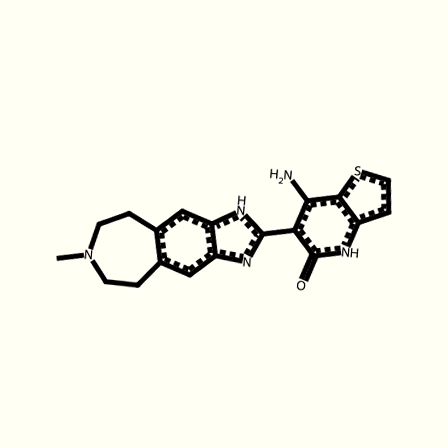 CN1CCc2cc3nc(-c4c(N)c5sccc5[nH]c4=O)[nH]c3cc2CC1